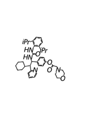 CC(C)c1cccc(C(C)C)c1NC(=O)NC(c1ccc(OC(=O)CN2CCOCC2)cc1)C(c1ccccn1)C1CCCCC1